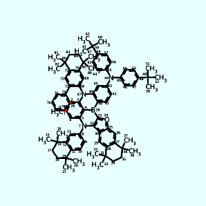 Cc1cc2c3c(c1)N(c1ccc4c(c1)C(C)(C)CCC4(C)C)c1c(oc4cc5c(cc14)C(C)(C)CCC5(C)C)B3c1ccc(N(c3ccc(C(C)(C)C)cc3)c3ccc(C(C)(C)C)cc3)cc1N2c1cc2c(cc1-c1ccccc1)C(C)(C)CCC2(C)C